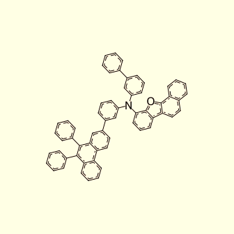 c1ccc(-c2cccc(N(c3cccc(-c4ccc5c(c4)c(-c4ccccc4)c(-c4ccccc4)c4ccccc45)c3)c3cccc4c3oc3c5ccccc5ccc43)c2)cc1